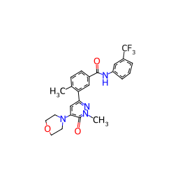 Cc1ccc(C(=O)Nc2cccc(C(F)(F)F)c2)cc1-c1cc(N2CCOCC2)c(=O)n(C)n1